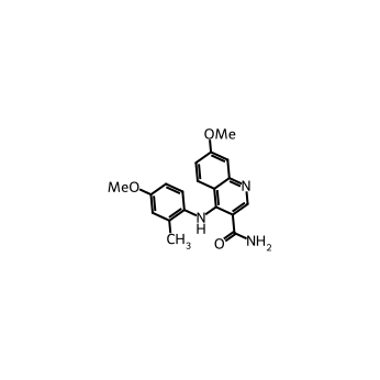 COc1ccc(Nc2c(C(N)=O)cnc3cc(OC)ccc23)c(C)c1